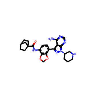 Nc1ncnc2c1c(-c1ccc(NC(=O)C34CCC(CC3)C4)c3c1OCO3)nn2[C@@H]1CCCNC1